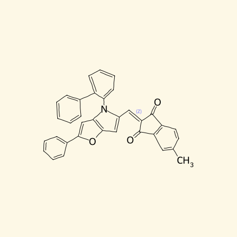 Cc1ccc2c(c1)C(=O)/C(=C\c1cc3oc(-c4ccccc4)cc3n1-c1ccccc1-c1ccccc1)C2=O